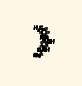 CCC(C)CC(=O)Nc1ccc(-n2nc3ccc(C)cc3n2)c(O)c1